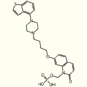 O=c1ccc2ccc(OCCCCN3CCN(c4cccc5sccc45)CC3)cc2n1COP(=O)(O)O